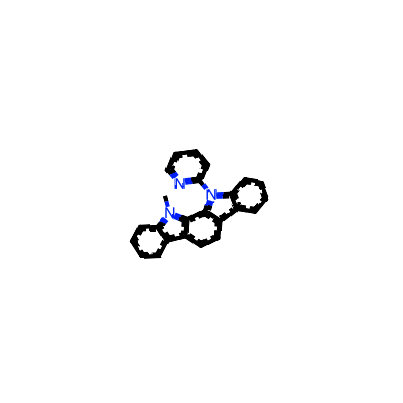 Cn1c2ccccc2c2ccc3c4ccccc4n(-c4ccccn4)c3c21